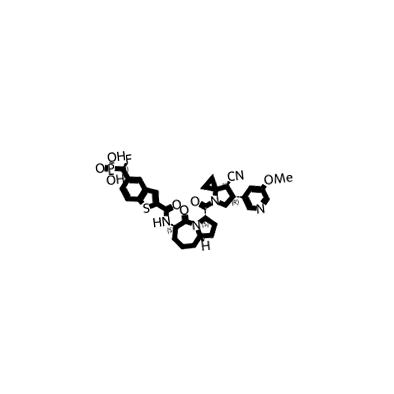 COc1cncc([C@@H]2CN(C(=O)[C@@H]3CC[C@@H]4CCC[C@H](NC(=O)c5cc6cc([C@H](F)P(=O)(O)O)ccc6s5)C(=O)N43)C3(CC3)[C@H]2C#N)c1